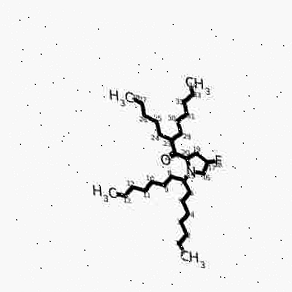 CCCCCCCC(CCCCCCC)N1CC(F)CC1C(=O)C(CCCCC)CCCCCC